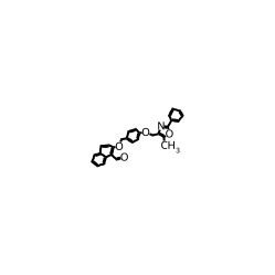 Cc1oc(-c2ccccc2)nc1COc1ccc(COc2ccc3ccccc3c2C=O)cc1